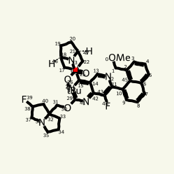 COCc1cccc2cccc(-c3ncc4c(N5C[C@H]6CC[C@@H](C5)N6C(=O)OC(C)(C)C)nc(OCC56CCCN5CC(F)C6)nc4c3F)c12